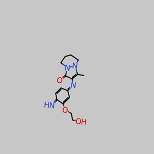 Cc1c(N=C2C=CC(=N)C(OCCO)=C2)c(=O)n2n1CCCC2